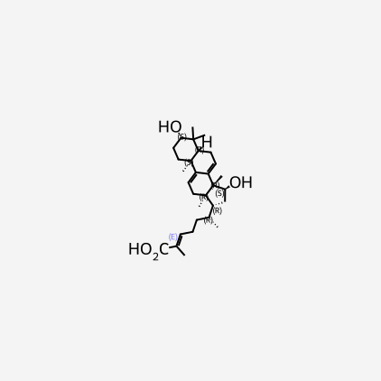 C/C(=C\CC[C@@H](C)[C@H]1C[C@H](O)[C@@]2(C)C3=CC[C@H]4C(C)(C)[C@@H](O)CC[C@]4(C)C3=CC[C@]12C)C(=O)O